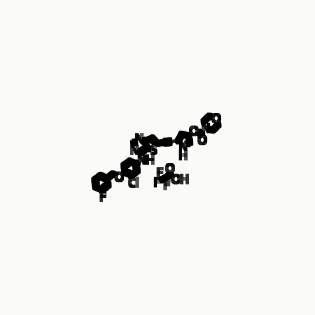 O=C(O)C(F)(F)F.O=C(O[C@@H]1CN[C@H](C#Cc2cc3ncnc(Nc4ccc(OCc5cccc(F)c5)c(Cl)c4)c3s2)C1)N1CCOCC1